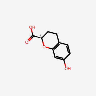 O=C(O)[C@H]1CCc2ccc(O)cc2O1